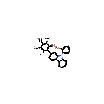 [2H]c1c([2H])c([2H])c(-c2ccc3c4ccccc4n(-c4ccccc4Br)c3c2)c([2H])c1[2H]